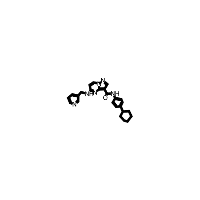 O=C(Nc1ccc(C2CCCCC2)cc1)c1cnn2ccc(NCc3cccnc3)nc12